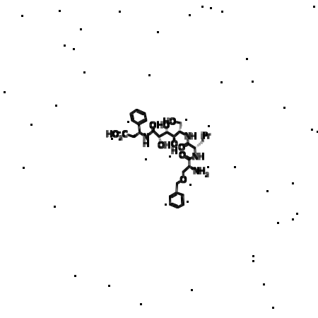 CC(C)C[C@H](NC(=O)[C@@H](N)COCc1ccccc1)C(=O)N[C@@H](CO)[C@@H](O)[C@@H](O)[C@H](O)C(=O)N[C@@H](CC(=O)O)c1ccccc1